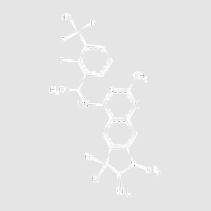 C=C1N(C)c2cc3nc(C)nc(N[C@H](C)c4cccc(C(F)(F)C(C)C)c4F)c3cc2C1(CC)CC